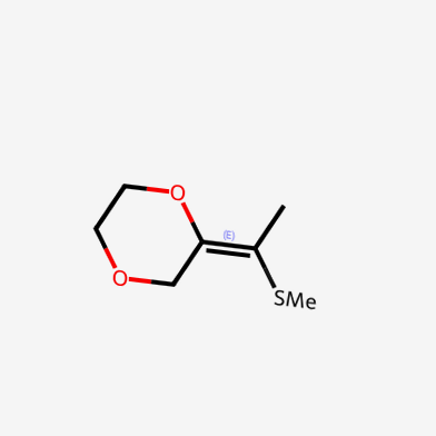 CS/C(C)=C1\COCCO1